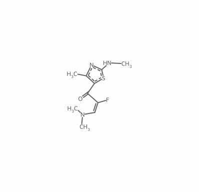 CNc1nc(C)c(C(=O)/C(F)=C\N(C)C)s1